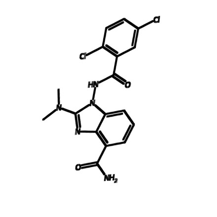 CN(C)c1nc2c(C(N)=O)cccc2n1NC(=O)c1cc(Cl)ccc1Cl